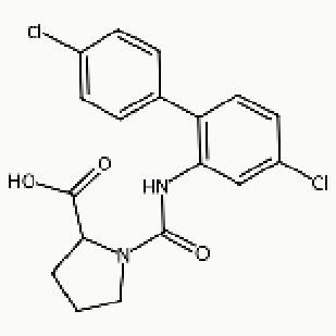 O=C(O)C1CCCN1C(=O)Nc1cc(Cl)ccc1-c1ccc(Cl)cc1